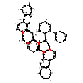 c1ccc(-c2ccccc2-c2c(-c3ccccc3)cccc2N(c2cccc(-c3cccc4c3oc3ccccc34)c2)c2cccc3c2oc2ccccc23)cc1